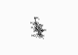 CC(C)C[C@H](NC(=O)[C@H](CC(N)=O)NC(=O)[C@H](CO)NC(=O)[C@H](C)NC(=O)[C@@H](N)CCCCN)C(=O)N[C@@H](Cc1c[nH]cn1)C(=O)N[C@H](C(=O)O)[C@@H](C)O